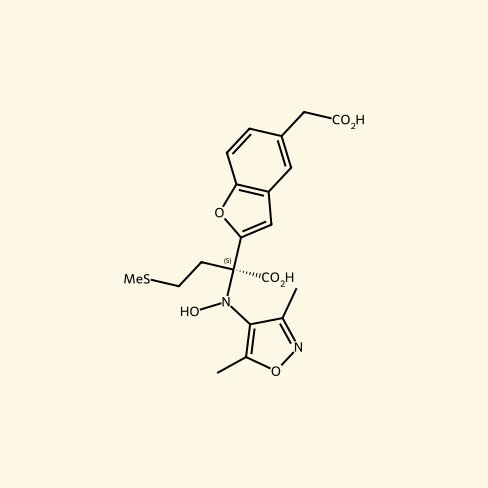 CSCC[C@@](C(=O)O)(c1cc2cc(CC(=O)O)ccc2o1)N(O)c1c(C)noc1C